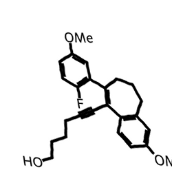 COc1ccc2c(c1)CCCC(c1cc(OC)ccc1F)=C2C#CCCCCO